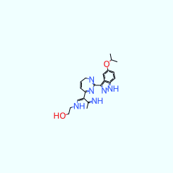 CC(=N)/C(=C\NCCO)C1=NC(c2n[nH]c3ccc(OC(C)C)cc23)=NCC=C1